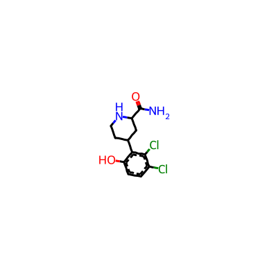 NC(=O)C1CC(c2c(O)ccc(Cl)c2Cl)CCN1